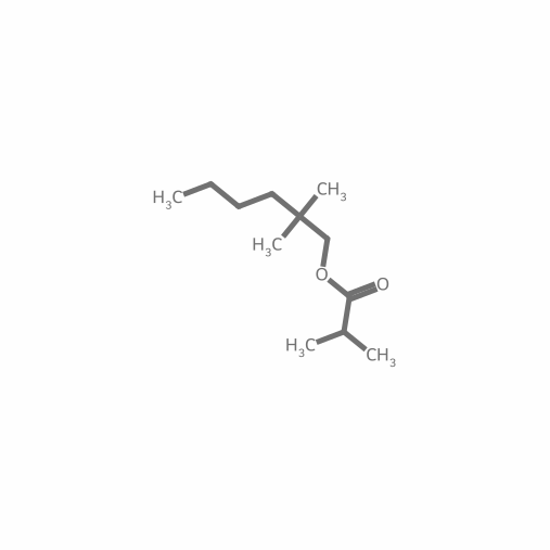 CCCCC(C)(C)COC(=O)C(C)C